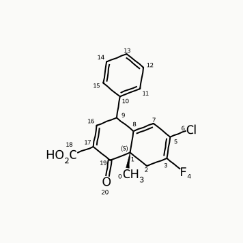 C[C@]12CC(F)=C(Cl)C=C1C(c1ccccc1)C=C(C(=O)O)C2=O